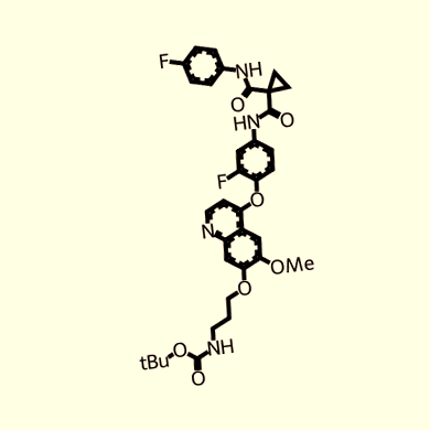 COc1cc2c(Oc3ccc(NC(=O)C4(C(=O)Nc5ccc(F)cc5)CC4)cc3F)ccnc2cc1OCCCNC(=O)OC(C)(C)C